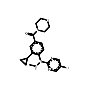 CNN(c1ncc(Cl)cn1)c1ccc(C(=O)N2CCOCC2)cc1C1CC1